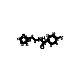 [CH2]c1ccc(C(=O)NCCc2cccs2)cc1